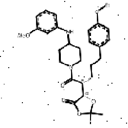 CCOc1ccc(CCC[C@@H](C(=O)N2CCC(Nc3cccc(OC)c3)CC2)[C@@H]2OC(C)(C)OC2=O)cc1